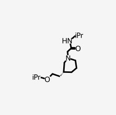 CC(C)NC(=O)CN1CCC[C@H](CCOC(C)C)C1